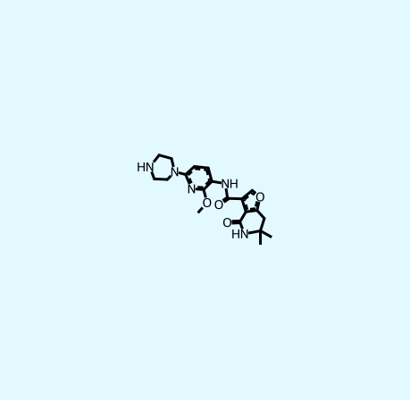 COc1nc(N2CCNCC2)ccc1NC(=O)c1coc2c1C(=O)NC(C)(C)C2